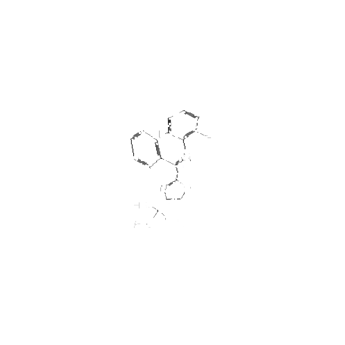 CC(C)(C)[C@H]1COC(/C(=N/c2c(F)cccc2F)c2ccccc2)=N1